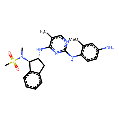 COc1cc(N)ccc1Nc1ncc(C(F)(F)F)c(N[C@@H]2Cc3ccccc3[C@H]2N(C)S(C)(=O)=O)n1